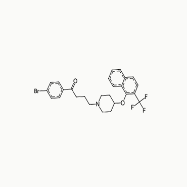 O=C(CCCN1CCC(Oc2c(C(F)(F)F)ccc3ccccc23)CC1)c1ccc(Br)cc1